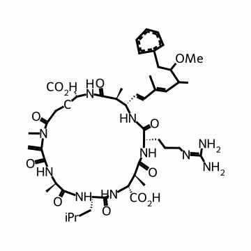 C=C1C(=O)N[C@H](C)C(=O)N[C@@H](CC(C)C)C(=O)N[C@@H](C(=O)O)[C@H](C)C(=O)N[C@@H](CCCN=C(N)N)C(=O)N[C@@H](/C=C/C(C)=C/C(C)C(Cc2ccccc2)OC)[C@H](C)C(=O)N[C@@H](C(=O)O)CCC(=O)N1C